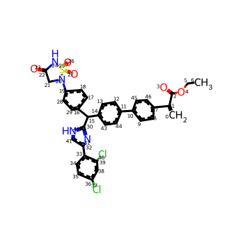 C=C(C(=O)OCC)c1ccc(-c2ccc(C(c3ccc(N4CC(=O)NS4(=O)=O)cc3)c3nc(-c4ccc(Cl)cc4Cl)c[nH]3)cc2)cc1